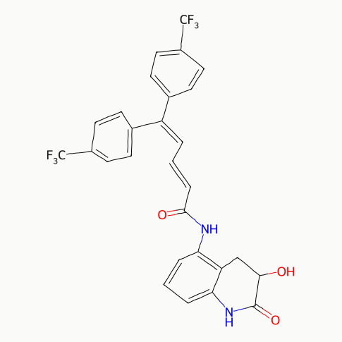 O=C(C=CC=C(c1ccc(C(F)(F)F)cc1)c1ccc(C(F)(F)F)cc1)Nc1cccc2c1CC(O)C(=O)N2